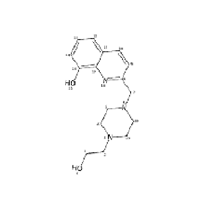 OCCN1CCN(Cc2ccc3cccc(O)c3n2)CC1